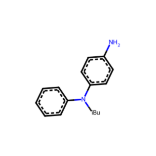 CCC(C)N(c1ccccc1)c1ccc(N)cc1